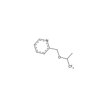 CC(OCc1[c]cccn1)C(F)(F)F